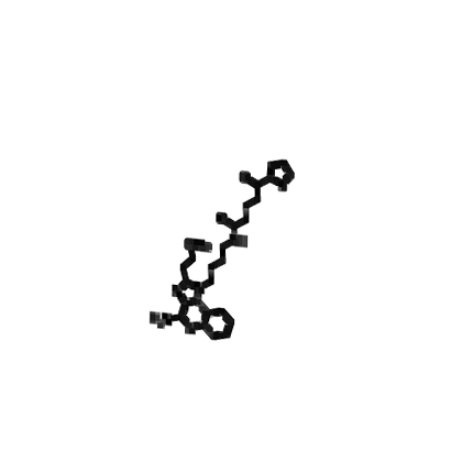 COCCc1nc2c(N)nc3ccccc3c2n1CCCCNC(=O)CCCC(=O)c1cccs1